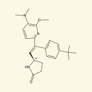 COc1nc(C(=C[C@H]2CCC(=O)N2)c2ccc(C(C)(C)C)cc2)ccc1N(C)C